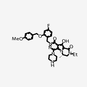 CCN1C[C@H](C)n2c(c(O)c3c(=O)n(Cc4ccc(F)cc4OCc4ccc(OC)cc4)nc(N4CCNCC4)c32)C1=O